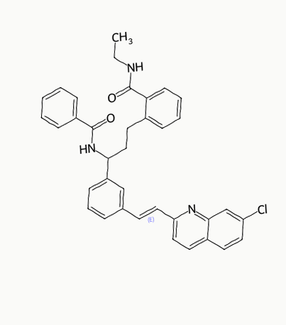 CCNC(=O)c1ccccc1CCC(NC(=O)c1ccccc1)c1cccc(/C=C/c2ccc3ccc(Cl)cc3n2)c1